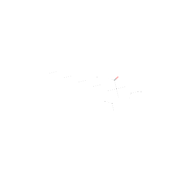 CCCCC(CC)CC(CCCCCCCCCC(=O)O)(CC(CC)CCCC)C(=O)OC